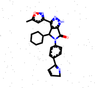 Cc1cc(-c2n[nH]c3c2C(C2CCCCC2)N(c2ccc(C4=NCC=C4)cc2)C3=O)no1